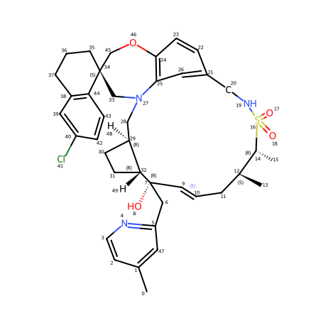 Cc1ccnc(C[C@]2(O)/C=C/C[C@H](C)[C@@H](C)S(=O)(=O)NCc3ccc4c(c3)N(C[C@@H]3CC[C@H]32)C[C@@]2(CCCc3cc(Cl)ccc32)CO4)c1